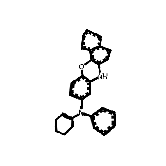 C1=C(N(c2ccccc2)c2ccc3c(c2)Nc2ccc4ccccc4c2O3)CCCC1